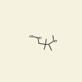 CNC(C)C(C)(C)CNS